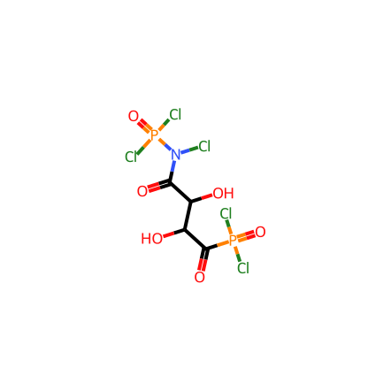 O=C(C(O)C(O)C(=O)P(=O)(Cl)Cl)N(Cl)P(=O)(Cl)Cl